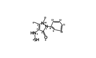 Cc1c(NS)c(=O)n(-c2ccccc2)n1C